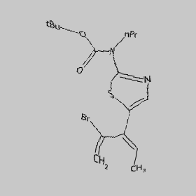 C=C(Br)/C(=C\C)c1cnc(N(CCC)C(=O)OC(C)(C)C)s1